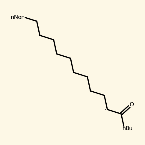 CCCCCCCCCCCCCCCCCC[CH]C(=O)CCCC